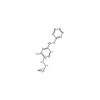 Cc1cc(OCc2ccccc2)ccc1CCC(=O)O